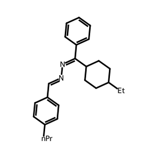 CCCc1ccc(C=NN=C(c2ccccc2)C2CCC(CC)CC2)cc1